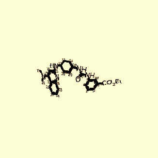 CCOC(=O)c1cccc(NC(=O)NC2CCC(Nc3cc(N(C)C)c4ccccc4n3)CC2)c1